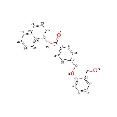 O=Cc1ccccc1OCc1ccc(C(=O)Oc2cccc3ccccc23)cc1